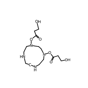 O=C(CCO)ON1CCNCCNCCN(OC(=O)CCO)CC1